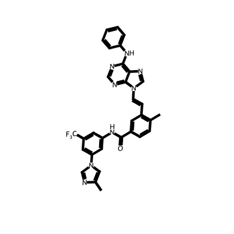 Cc1cn(-c2cc(NC(=O)c3ccc(C)c(C=Cn4cnc5c(Nc6ccccc6)ncnc54)c3)cc(C(F)(F)F)c2)cn1